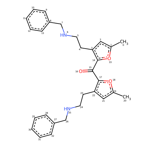 Cc1cc(CCNCc2ccccc2)c(C(=O)c2oc(C)cc2CCNCc2ccccc2)o1